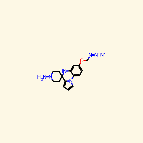 [N-]=[N+]=NCOc1ccc2c(c1)NC1(CCN(N)CC1)c1cccn1-2